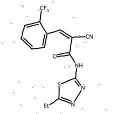 CCc1nnc(NC(=O)C(C#N)=Cc2ccccc2C(F)(F)F)s1